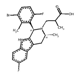 Cc1c(Br)ccc(F)c1[C@@H]1c2[nH]c3ccc(F)cc3c2C[C@@H](C)N1CC(C)C(=O)O